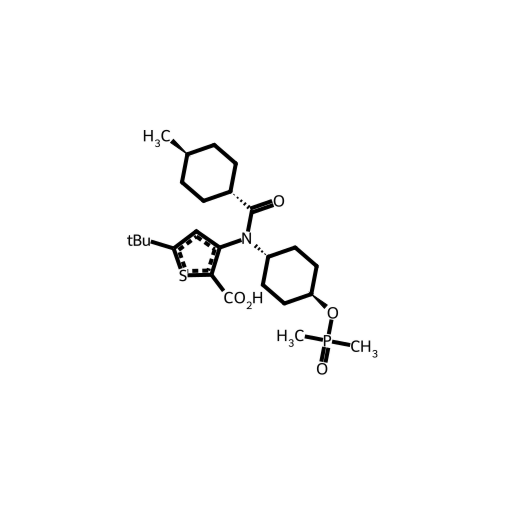 CC(C)(C)c1cc(N(C(=O)[C@H]2CC[C@H](C)CC2)[C@H]2CC[C@H](OP(C)(C)=O)CC2)c(C(=O)O)s1